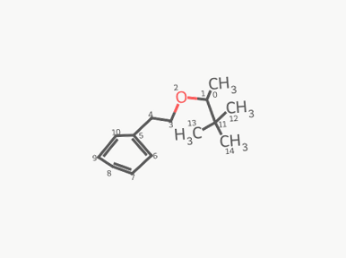 CC(OCCc1ccccc1)C(C)(C)C